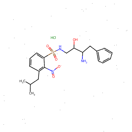 CC(C)Cc1cccc(S(=O)(=O)NCC(O)C(N)Cc2ccccc2)c1[N+](=O)[O-].Cl